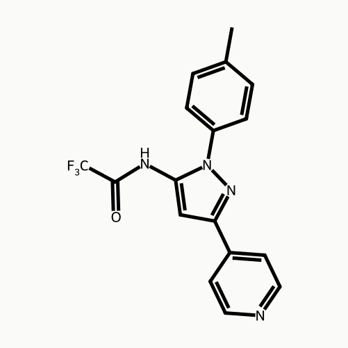 Cc1ccc(-n2nc(-c3ccncc3)cc2NC(=O)C(F)(F)F)cc1